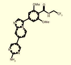 COc1cc(-c2cnc3cc(-c4cnc(N)nc4)ccn23)cc(OC)c1C(=O)NCC(F)(F)F